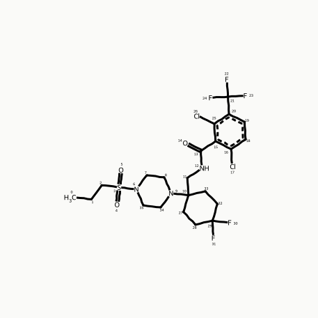 CCCS(=O)(=O)N1CCN(C2(CNC(=O)c3c(Cl)ccc(C(F)(F)F)c3Cl)CCC(F)(F)CC2)CC1